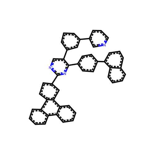 c1cncc(-c2cccc(-c3cnc(-c4ccc5c6ccccc6c6ccccc6c5c4)nc3-c3ccc(-c4cccc5ccccc45)cc3)c2)c1